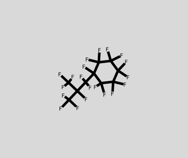 FC(F)(F)C(F)(C(F)(F)F)C(F)(F)C1(F)C(F)(F)C(F)(F)C(F)(F)C(F)(F)C1(F)F